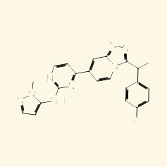 CC(c1ccc(Cl)cc1)c1nnc2cc(-c3ccnc(Nc4ccnn4C)n3)ccn12